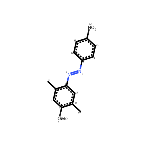 COc1cc(C)c(N=Nc2ccc([N+](=O)[O-])cc2)cc1C